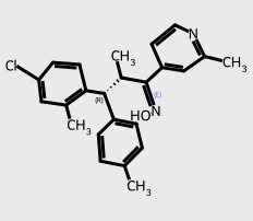 Cc1ccc([C@H](c2ccc(Cl)cc2C)C(C)/C(=N\O)c2ccnc(C)c2)cc1